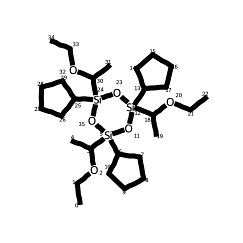 CCOC(C)[Si]1(C2CCCC2)O[Si](C2CCCC2)(C(C)OCC)O[Si](C2CCCC2)(C(C)OCC)O1